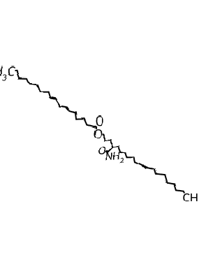 CCCCCCCCC=CCCCCCCCC(=O)OCCCC(CCCCCCC=CCCCCCCCC)C(N)=O